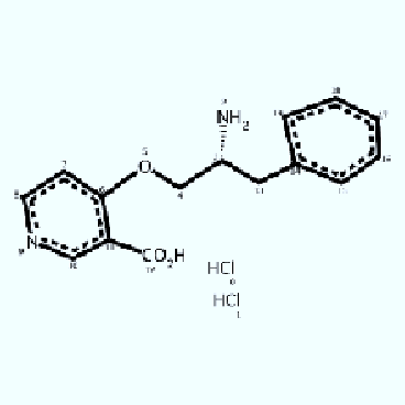 Cl.Cl.N[C@@H](COc1ccncc1C(=O)O)Cc1ccccc1